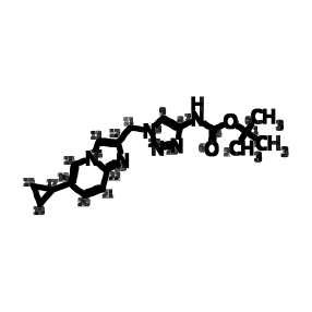 CC(C)(C)OC(=O)Nc1cn(Cc2cn3cc(C4CC4)ccc3n2)nn1